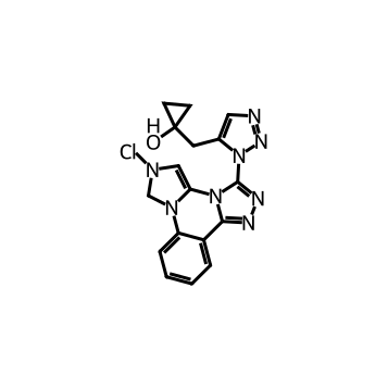 OC1(Cc2cnnn2-c2nnc3n2C2=CN(Cl)CN2c2ccccc2-3)CC1